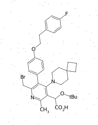 Cc1nc(CBr)c(-c2ccc(OCCc3ccc(F)cc3)cc2)c(N2CCC3(CCC3)CC2)c1C(OC(C)(C)C)C(=O)O